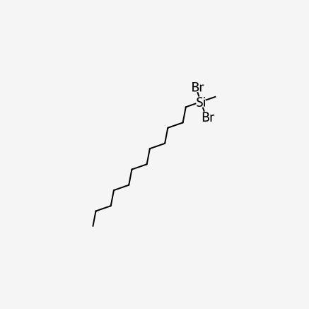 CCCCCCCCCCCC[Si](C)(Br)Br